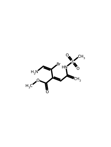 C=C(/C=C(C(=O)OC)\C(Br)=C/N)NS(C)(=O)=O